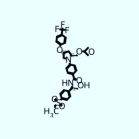 CCS(=O)(=O)c1ccc([C@H](CO)NC(=O)c2ccc(N3C[C@H](Oc4ccc(C(F)(F)F)cc4)C[C@H]3COC3COC3)cc2)cc1